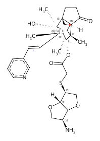 C[C@@H]1CC[C@@]23CCC(=O)[C@H]2[C@]1(C)[C@H](OC(=O)CS[C@H]1COC2[C@@H](N)CO[C@@H]21)C[C@](C)(/C=C/c1cccnc1)[C@@H](O)[C@@H]3C